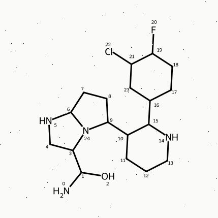 NC(O)C1CNC2CCC(C3CCCNC3C3CCC(F)C(Cl)C3)N21